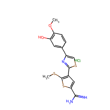 COc1ccc(-c2csc(-c3cc(C(=N)N)sc3SC)n2)cc1O.Cl